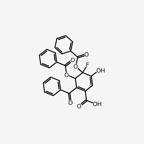 O=C(O)C1=C(C(=O)c2ccccc2)C(OC(=O)c2ccccc2)C(F)(OC(=O)c2ccccc2)C(O)=C1